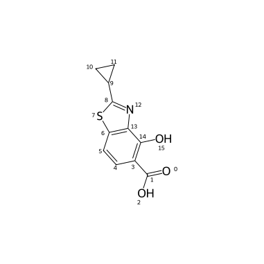 O=C(O)c1ccc2sc(C3CC3)nc2c1O